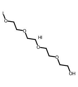 I.OCCOCCOCCOCCOI